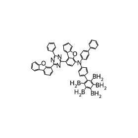 Bc1c(B)c(B)c(-c2ccc(N(c3ccc(-c4ccccc4)cc3)c3ccc(-c4nc(-c5ccccc5)nc(-c5cccc6c5oc5ccccc56)n4)c4c3oc3ccccc34)cc2)c(B)c1B